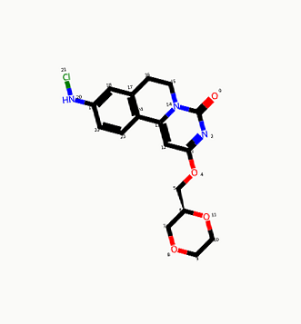 O=c1nc(OC[C@@H]2COCCO2)cc2n1CCc1cc(NCl)ccc1-2